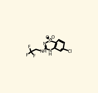 O=S1(=O)N=C(NCC(F)(F)F)Nc2cc(Cl)ccc21